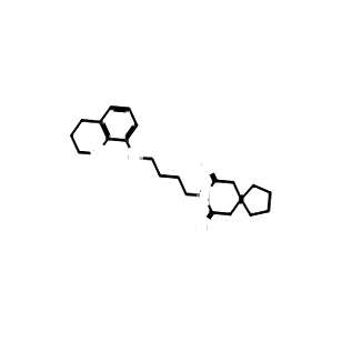 O=C1CC2(CCCC2)CC(=O)N1CCCCOc1cccc2c1SCCC2